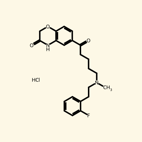 CN(CCCCC(=O)c1ccc2c(c1)NC(=O)CO2)CCc1ccccc1F.Cl